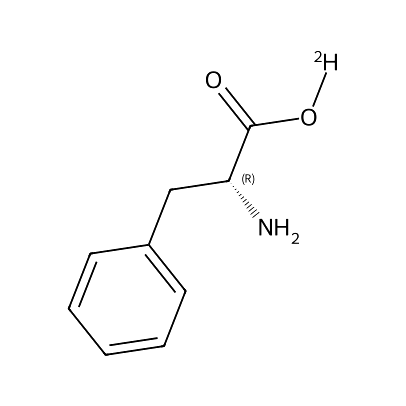 [2H]OC(=O)[C@H](N)Cc1ccccc1